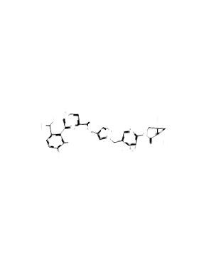 COc1cc(Cn2cc(NC(=O)c3cncc(-c4c(C(F)F)ccc(Cl)c4F)n3)cn2)cnc1N1C[C@H]2C[C@H]2C1=O